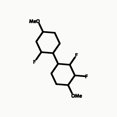 COC1CCC(C2CCC(OC)C(F)C2F)C(F)C1